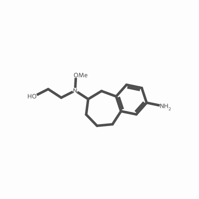 CON(CCO)C1CCCc2cc(N)ccc2C1